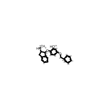 CNC1Cc2ccccc2C1Oc1ccc(OCc2ccccc2)cc1.Cl